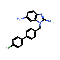 Nc1ccc2nc(N)n(Cc3ccc(-c4ccc(Cl)cc4)cc3)c2c1